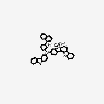 C[Si]1(C)c2cc(N(C3=CC4C5=C(CCC=C5)SC4C=C3)C3=CC(c4cccc5c4CCC=C5)=CCC3)ccc2C2=C3SC4C=CC=CC4C3=CCC21